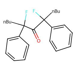 CCCCC(F)(C(=O)C(F)(CCCC)c1ccccc1)c1ccccc1